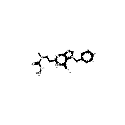 CN(CCc1nc2ncn(Cc3ccccc3)c2c(=O)[nH]1)C(=O)OC(C)(C)C